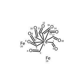 O=[CH][Fe]([CH]=O)([CH]=O)([CH]=O)([CH]=O)([CH]=O)([CH]=O)([CH]=O)[CH]=O.[Fe].[Fe]